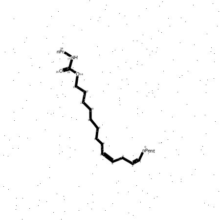 CCCCC/C=C\C/C=C\CCCCCCCCOC(=O)NCCC